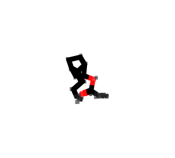 COC(=O)OC1CC2CCC1C2=CCC(C)C